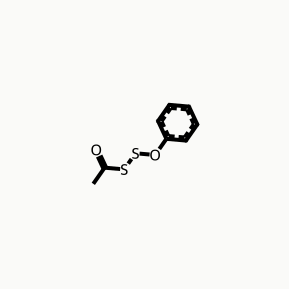 CC(=O)SSOc1ccccc1